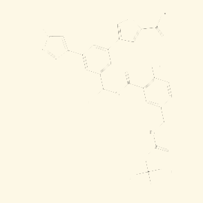 Cc1ccc(CNC(=O)OC(C)(C)C)cc1C(=O)NC(C)c1cc(-c2csc(C(=O)O)c2)cc(-c2cnn(C)c2)c1